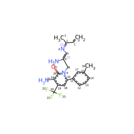 C=C/C(C)=N\C=C(/N)Cn1c(-c2cccc(C)c2)cc(C(F)(F)F)c(N)c1=O